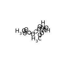 CCOCCC1(OC2=CCC(Oc3ccc(S(C)(=O)=O)cc3)C=C2)C(=O)NC(=O)NC1=O